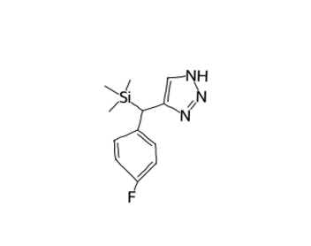 C[Si](C)(C)C(c1ccc(F)cc1)c1c[nH]nn1